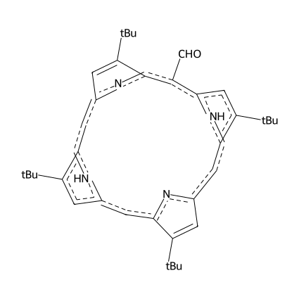 CC(C)(C)C1=Cc2cc3[nH]c(cc3C(C)(C)C)c(C=O)c3nc(cc4[nH]c(cc1n2)cc4C(C)(C)C)C=C3C(C)(C)C